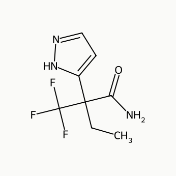 CCC(C(N)=O)(c1ccn[nH]1)C(F)(F)F